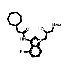 CNCC(O)Cn1cc(NC(=O)CC2CCCCCC2)c2c(Br)cccc21